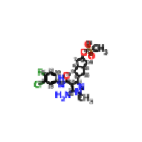 Cn1nc(C2CC3CC(OS(C)(=O)=O)CC3C2)c(C(=O)Nc2ccc(F)c(Cl)c2)c1N